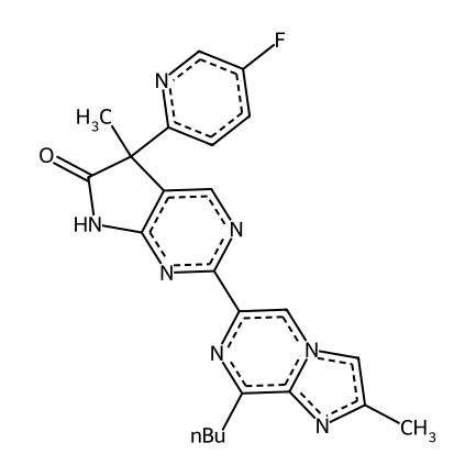 CCCCc1nc(-c2ncc3c(n2)NC(=O)C3(C)c2ccc(F)cn2)cn2cc(C)nc12